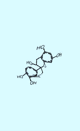 O=CCC1(c2ccc(O)c(O)c2)Oc2cc(O)cc(O)c2CC1O